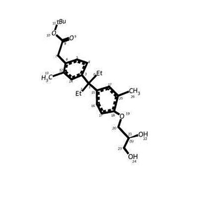 CCC(CC)(c1ccc(CC(=O)OC(C)(C)C)c(C)c1)c1ccc(OC[C@@H](O)CO)c(C)c1